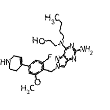 CCCCN(CCO)c1nc(N)nc2cn(Cc3c(F)cc(C4=CCNCC4)cc3OC)nc12